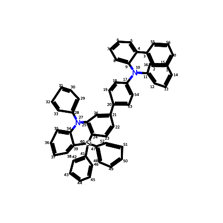 c1ccc(-c2ccccc2N(c2ccccc2)c2ccc(-c3ccc4c(c3)N(c3ccccc3)c3ccccc3[Si]4(c3ccccc3)c3ccccc3)cc2)cc1